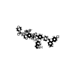 CC1(C)CCC(CN2CCN(c3ccc(C(=O)NS(=O)(=O)c4cc5c(c([N+](=O)[O-])c4)N[C@@H](CNC(=O)N4CCOCC4)CO5)c(Oc4cnc5[nH]ccc5c4)c3)CC2)=C(c2ccc(Cl)cc2)C1